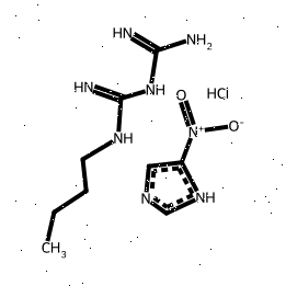 CCCCNC(=N)NC(=N)N.Cl.O=[N+]([O-])c1cnc[nH]1